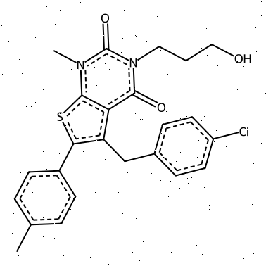 Cc1ccc(-c2sc3c(c2Cc2ccc(Cl)cc2)c(=O)n(CCCO)c(=O)n3C)cc1